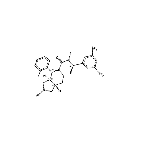 CC(=O)N1C[C@H]2CCN(C(=O)N(C)[C@H](C)c3cc(C(F)(F)F)cc(C(F)(F)F)c3)[C@@H](c3ccccc3C)[C@@H]2C1